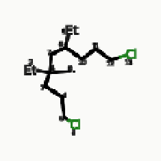 [CH2]C(CC)(CCCCl)CC(CC)CCCCl